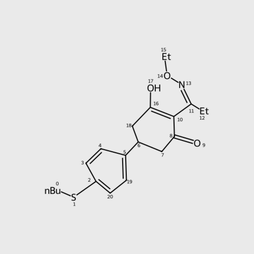 CCCCSc1ccc(C2CC(=O)C(/C(CC)=N\OCC)=C(O)C2)cc1